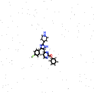 Fc1ccc(-c2nc(C3CCNCC3)[nH]c2-c2ccnc(Oc3ccccc3)n2)cc1